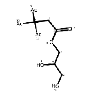 CC(=O)C(CC(=O)OCC(O)CO)(C(C)=O)C(C)=O